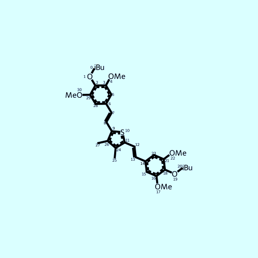 CCC(C)Oc1c(OC)cc(/C=C/c2sc(/C=C/c3cc(OC)c(OC(C)CC)c(OC)c3)c(C)c2C)cc1OC